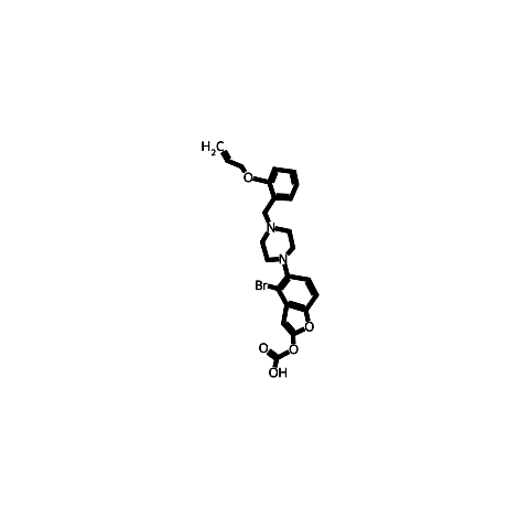 C=CCOc1ccccc1CN1CCN(c2ccc3oc(OC(=O)O)cc3c2Br)CC1